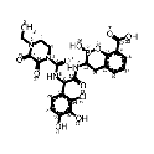 CCN1CCN(C(=O)NC(C(=O)NC2Cc3cccc(C(=O)O)c3OB2O)c2ccc(O)c(O)c2Cl)C(=O)C1=O